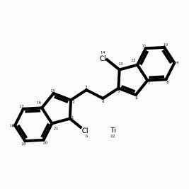 ClC1C(CCC2=Cc3ccccc3C2Cl)=Cc2ccccc21.[Ti]